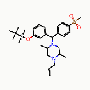 C=CCN1CC(C)N(C(c2ccc(S(C)(=O)=O)cc2)c2cccc(O[Si](C)(C)C(C)(C)C)c2)CC1C